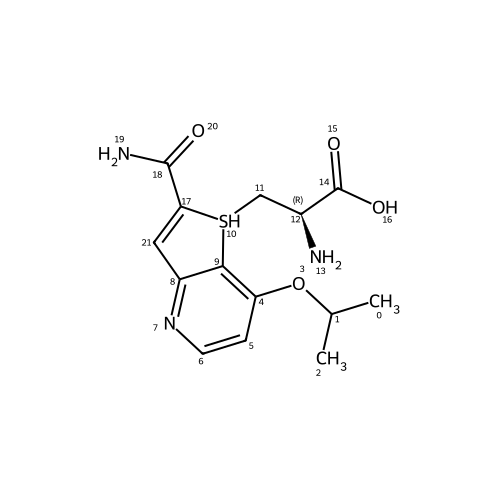 CC(C)Oc1ccnc2c1[SH](C[C@H](N)C(=O)O)C(C(N)=O)=C2